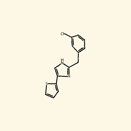 Clc1cccc(Cc2nc(-c3cccs3)c[nH]2)c1